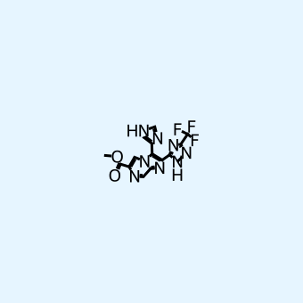 COC(=O)c1cn2c(-c3c[nH]cn3)c(-c3nc(C(F)(F)F)n[nH]3)nc2cn1